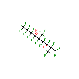 OC(F)(C(F)(F)C(F)(C(F)(F)F)C(O)(F)C(F)(F)C(F)(F)C(F)(F)F)C(F)([C](F)F)C(F)(F)F